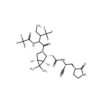 CCC(C(NC(=O)C(F)(F)F)C(=O)N1C[C@H]2[C@@H]([C@H]1CC(=O)N[C@H](C#N)C[C@@H]1CCNC1=O)C2(C)C)C(F)(F)F